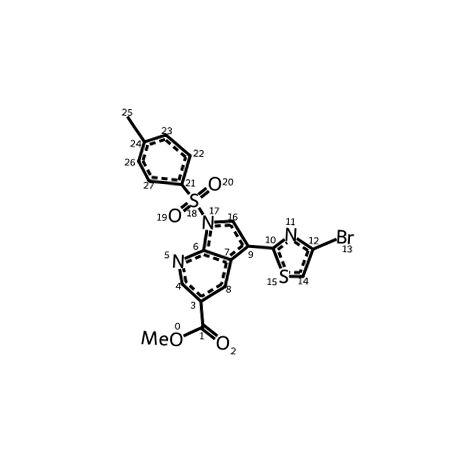 COC(=O)c1cnc2c(c1)c(-c1nc(Br)cs1)cn2S(=O)(=O)c1ccc(C)cc1